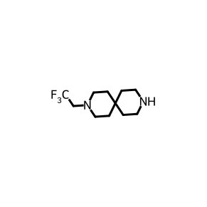 FC(F)(F)CN1CCC2(CCNCC2)CC1